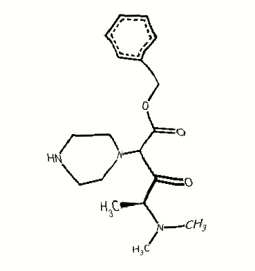 C[C@@H](C(=O)C(C(=O)OCc1ccccc1)N1CCNCC1)N(C)C